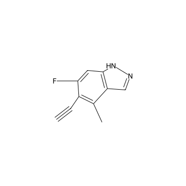 C#Cc1c(F)cc2[nH]ncc2c1C